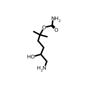 CC(C)(CCC(O)CN)OC(N)=O